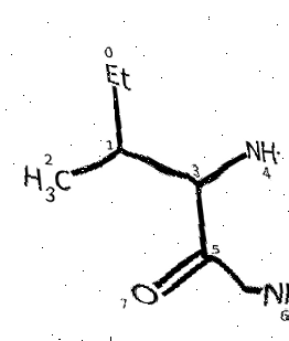 CCC(C)C([NH])C(N)=O